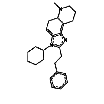 CN1CCCC2=c3nc(CCc4ccccc4)n(C4CCCCC4)c3=CCC21